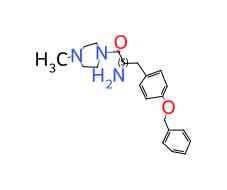 CN1CCN(C(=O)[C@@H](N)Cc2ccc(OCc3ccccc3)cc2)CC1